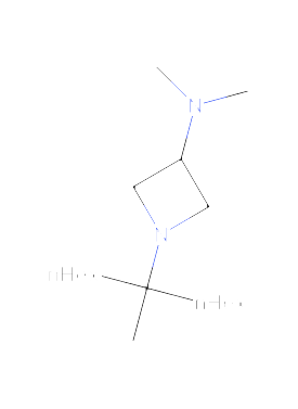 CCCCCCC(C)(CCCCCC)N1CC(N(C)C)C1